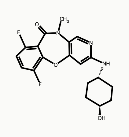 CN1C(=O)c2c(F)ccc(F)c2Oc2cc(N[C@H]3CC[C@H](O)CC3)ncc21